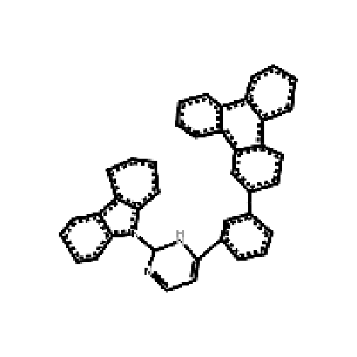 C1=NC(n2c3ccccc3c3ccccc32)NC(c2cccc(-c3ccc4c5ccccc5c5ccccc5c4c3)c2)=C1